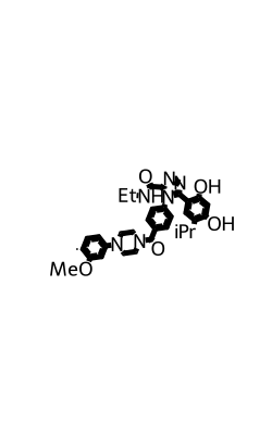 CCNC(=O)c1nnc(-c2cc(C(C)C)c(O)cc2O)n1-c1ccc(C(=O)N2CCN(c3cc[c]c(OC)c3)CC2)cc1